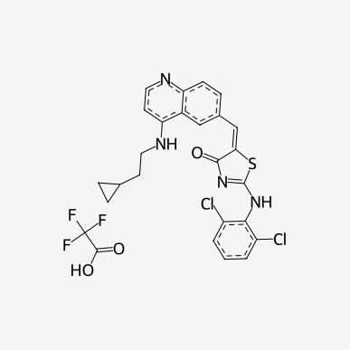 O=C(O)C(F)(F)F.O=C1N=C(Nc2c(Cl)cccc2Cl)SC1=Cc1ccc2nccc(NCCC3CC3)c2c1